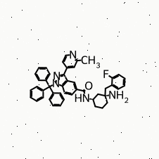 Cc1cc(-c2nn(C(c3ccccc3)(c3ccccc3)c3ccccc3)c3ccc(C(=O)N[C@@H]4CCC[C@@](N)(Cc5ccccc5F)C4)cc23)ccn1